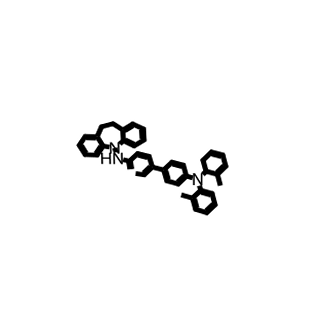 C=C(/C=C\C(=C/C)c1ccc(N(c2ccccc2C)C2CC=CC=C2C)cc1)NN1c2ccccc2CCc2ccccc21